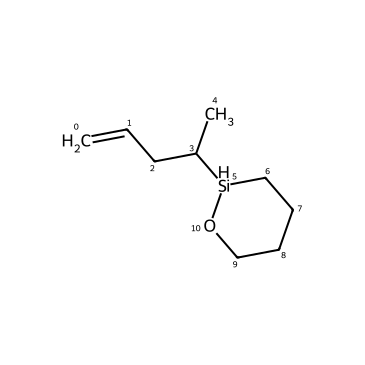 C=CCC(C)[SiH]1CCCCO1